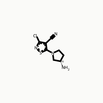 N#Cc1c(Cl)nsc1N1CC[C@H](N)C1